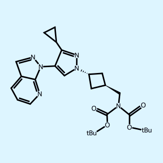 CC(C)(C)OC(=O)N(C[C@H]1C[C@H](n2cc(-n3ncc4cccnc43)c(C3CC3)n2)C1)C(=O)OC(C)(C)C